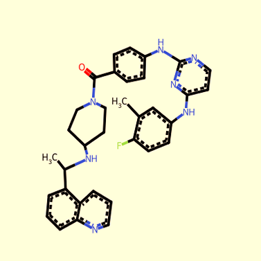 Cc1cc(Nc2ccnc(Nc3ccc(C(=O)N4CCC(NC(C)c5cccc6ncccc56)CC4)cc3)n2)ccc1F